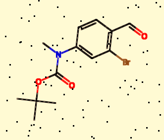 CN(C(=O)OC(C)(C)C)c1ccc(C=O)c(Br)c1